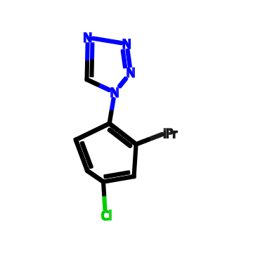 CC(C)c1cc(Cl)ccc1-n1cnnn1